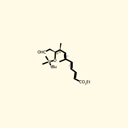 CCOC(=O)C=C/C=C/C(C)=C/[C@H](C)[C@H](CC=O)O[Si](C)(C)C(C)(C)C